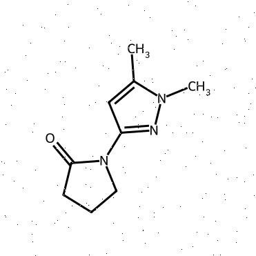 Cc1cc(N2CCCC2=O)nn1C